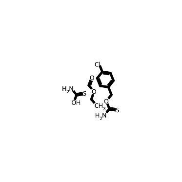 CCOC=O.NC(=S)OCc1ccc(Cl)cc1.NC(O)=S